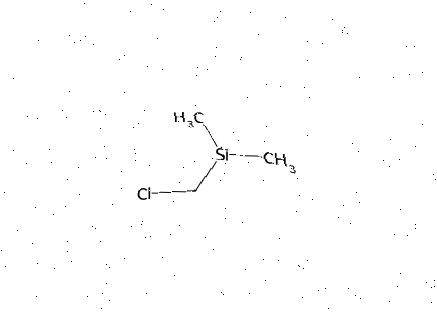 C[Si](C)CCl